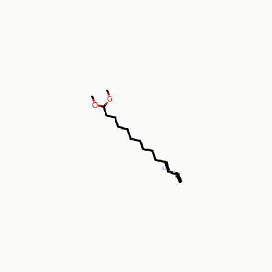 C=C/C=C/CCCCCCCCCC(OC)OC